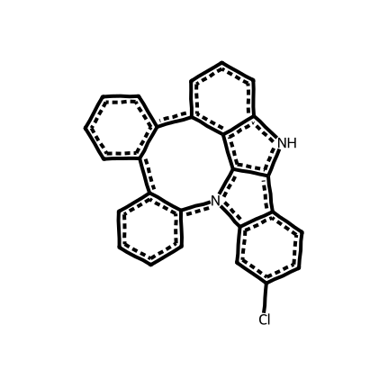 Clc1ccc2c3[nH]c4cccc5c6ccccc6c6ccccc6n(c2c1)c3c45